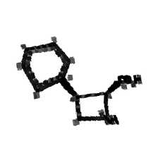 O=C(O)[C@H]1NC[C@H]1c1ccccc1